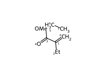 C=C(CC)C(=O)OC.CC